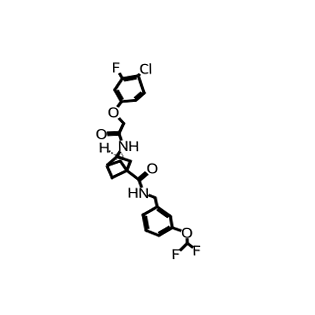 O=C(COc1ccc(Cl)c(F)c1)N[C@H]1CC2(C(=O)NCc3cccc(OC(F)F)c3)CC1C2